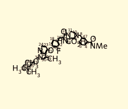 CNC(=O)c1cccc(CN2CCN(C(=O)C(Cc3ccc(Oc4ccnc5c4c(C)cn5COCC[Si](C)(C)C)c(F)c3)NC(=O)O)CC2)c1